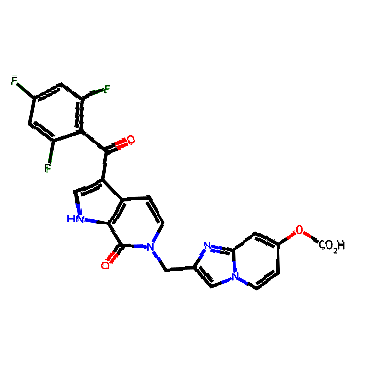 O=C(O)Oc1ccn2cc(Cn3ccc4c(C(=O)c5c(F)cc(F)cc5F)c[nH]c4c3=O)nc2c1